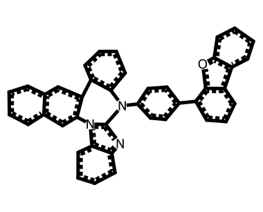 c1ccc2c(c1)-c1cc3ccccc3cc1-n1c(nc3ccccc31)N2c1ccc(-c2cccc3c2oc2ccccc23)cc1